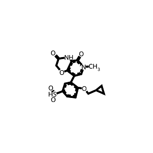 Cn1cc(-c2cc([SH](=O)=O)ccc2OCC2CC2)c2c(c1=O)NC(=O)CO2